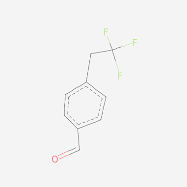 O=Cc1ccc(CC(F)(F)F)cc1